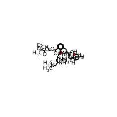 CCOC(C)(C)C(=O)OCOC(=O)c1cccc(C[C@H](NC(=O)CN2C=C(CN(C)C)NN2)B2O[C@@H]3C[C@@H]4C[C@@H](C4(C)C)[C@]3(C)O2)c1OC